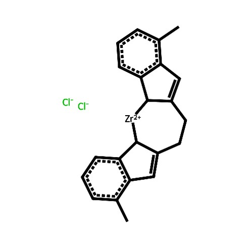 Cc1cccc2c1C=C1CCC3=Cc4c(C)cccc4[CH]3[Zr+2][CH]12.[Cl-].[Cl-]